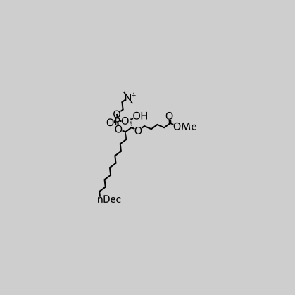 CCCCCCCCCCCCCCCCCCCC[C@@H](OP(=O)([O-])OCC[N+](C)(C)C)[C@H](CO)OCCCCC(=O)OC